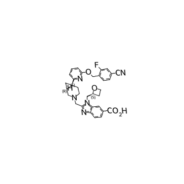 N#Cc1ccc(COc2cccc([C@@]34CCN(Cc5nc6ccc(C(=O)O)cc6n5C[C@@H]5CCO5)C[C@@H]3C4)n2)c(F)c1